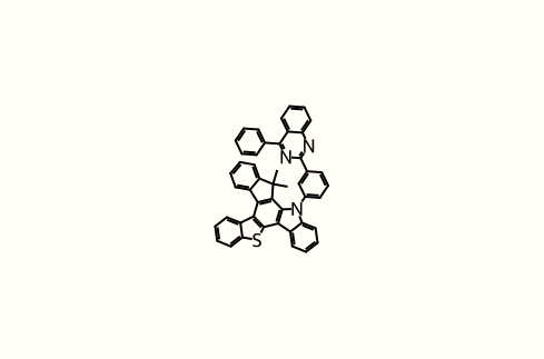 CC1(C)c2ccccc2-c2c1c1c(c3ccccc3n1-c1cccc(-c3nc(-c4ccccc4)c4ccccc4n3)c1)c1sc3ccccc3c21